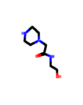 O=C(CN1CCNCC1)NCCO